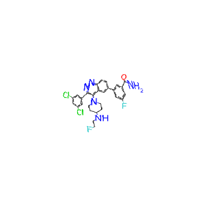 NC(=O)c1cc(F)cc(-c2ccc3nnc(-c4cc(Cl)cc(Cl)c4)c(N4CCC(NCCF)CC4)c3c2)c1